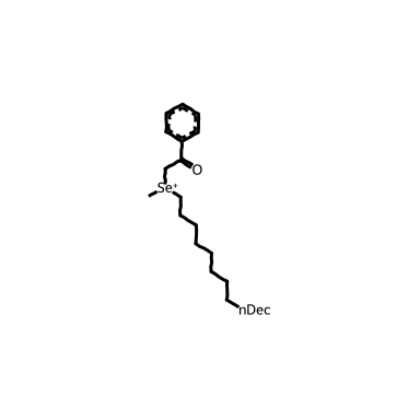 CCCCCCCCCCCCCCCCCC[Se+](C)CC(=O)c1ccccc1